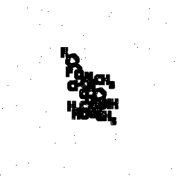 CC(=O)[N+]1(C(=O)C(C)(C)O)CNc2ccc(-n3c(C)nc(OCc4ccc(F)cc4F)c(Cl)c3=O)cc21